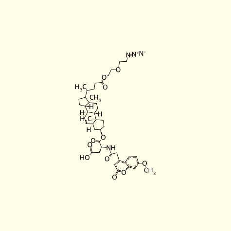 COc1ccc2c(CC(=O)N[C@@H](CC(=O)O)C(=O)O[C@@H]3CC[C@@]4(C)[C@H](CC[C@@H]5[C@@H]4CC[C@]4(C)C(C(C)CCC(=O)OCCOCCN=[N+]=[N-])CC[C@@H]54)C3)cc(=O)oc2c1